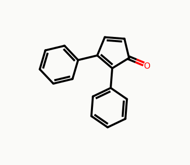 O=C1C=CC(c2ccccc2)=C1c1ccccc1